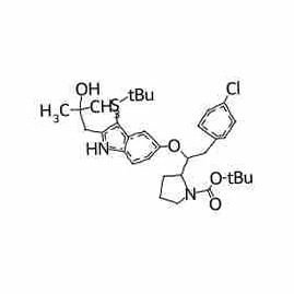 CC(C)(O)Cc1[nH]c2ccc(OC(Cc3ccc(Cl)cc3)C3CCCN3C(=O)OC(C)(C)C)cc2c1SC(C)(C)C